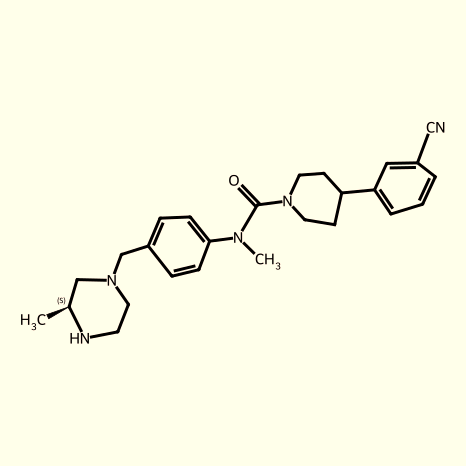 C[C@H]1CN(Cc2ccc(N(C)C(=O)N3CCC(c4cccc(C#N)c4)CC3)cc2)CCN1